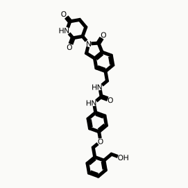 O=C1CCC(N2Cc3cc(CNC(=O)Nc4ccc(OCc5ccccc5CO)cc4)ccc3C2=O)C(=O)N1